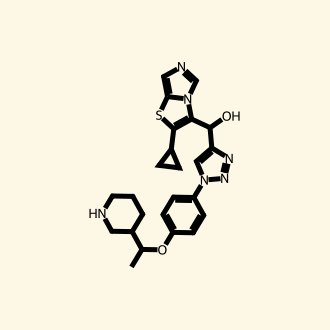 CC(Oc1ccc(-n2cc(C(O)c3c(C4CC4)sc4cncn34)nn2)cc1)C1CCCNC1